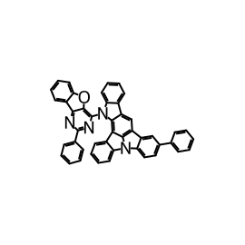 c1ccc(-c2ccc3c(c2)c2cc4c5ccccc5n(-c5nc(-c6ccccc6)nc6c5oc5ccccc56)c4c4c5ccccc5n3c24)cc1